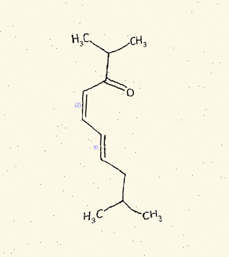 CC(C)C/C=C/C=C\C(=O)C(C)C